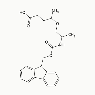 CC(COC(C)CCC(=O)O)NC(=O)OCC1c2ccccc2-c2ccccc21